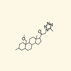 COCC12CCC(C)CC1CCC1C3CCC(C(=O)Cn4nnnc4C)C3(C)CCC12